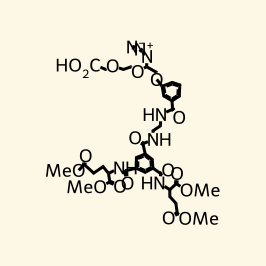 COC(=O)CCC(NC(=O)c1cc(C(=O)NCCNC(=O)c2cccc(OCC(N=[N+]=[N-])OCCOCC(=O)O)c2)cc(C(=O)NC(CCC(=O)OC)C(=O)OC)c1)C(=O)OC